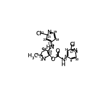 Cc1nc(OC(=O)Nc2ccnc(Cl)c2)c(Nc2ccnc(Cl)c2)s1